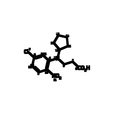 O=C(O)CCN(c1nc(Cl)ncc1[N+](=O)[O-])C1CCCC1